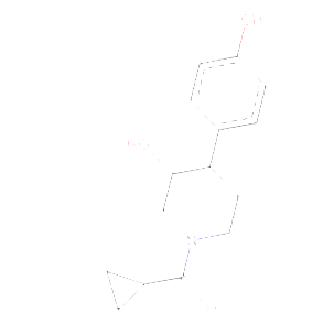 O=C(C1CC1)N1CCC(c2ccc(O)cc2)C(O)C1